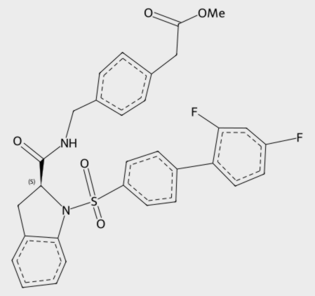 COC(=O)Cc1ccc(CNC(=O)[C@@H]2Cc3ccccc3N2S(=O)(=O)c2ccc(-c3ccc(F)cc3F)cc2)cc1